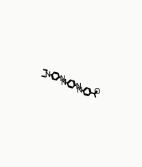 CCN(CC)c1ccc(N=Nc2ccc(N=Nc3ccc(C(C)=O)cc3)cc2)cc1